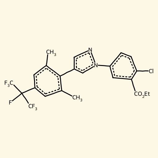 CCOC(=O)c1cc(-n2cc(-c3c(C)cc(C(F)(C(F)(F)F)C(F)(F)F)cc3C)cn2)ccc1Cl